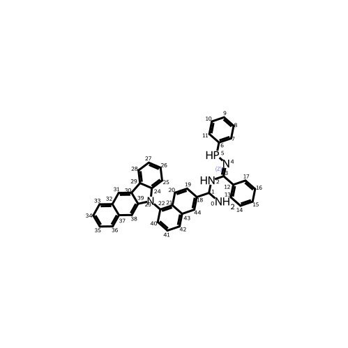 NC(N/C(=N\Pc1ccccc1)c1ccccc1)c1ccc2c(-n3c4ccccc4c4cc5ccccc5cc43)cccc2c1